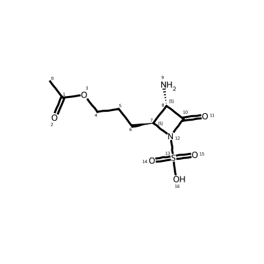 CC(=O)OCCC[C@H]1[C@H](N)C(=O)N1S(=O)(=O)O